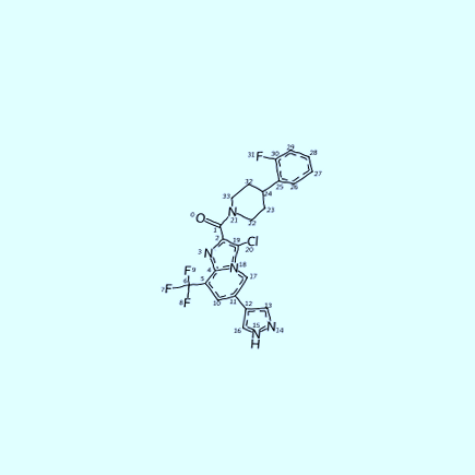 O=C(c1nc2c(C(F)(F)F)cc(-c3cn[nH]c3)cn2c1Cl)N1CCC(c2ccccc2F)CC1